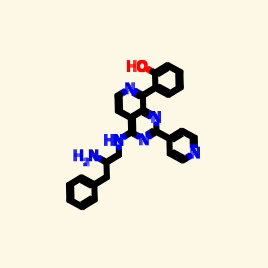 NC(CNc1nc(-c2ccncc2)nc2c(-c3ccccc3O)nccc12)Cc1ccccc1